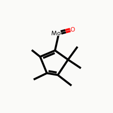 CC1=C(C)C(C)(C)[C]([Mo]=[O])=C1C